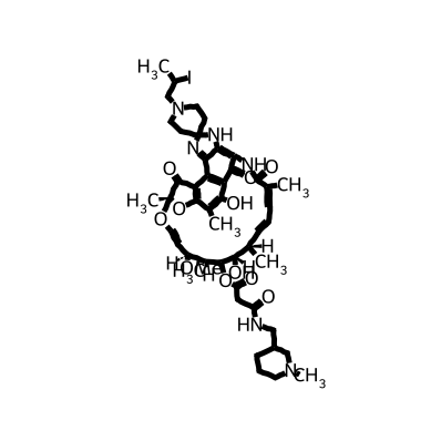 CO[C@H]1/C=C/O[C@@]2(C)Oc3c(C)c(O)c4c(c3C2=O)C2=NC3(CCN(CC(C)I)CC3)NC2=C(NC(=O)/C(C)=C\C=C\[C@H](C)[C@H](O)C(OC(=O)CC(=O)NCC2CCCN(C)C2)[C@@H]1C)C4=O